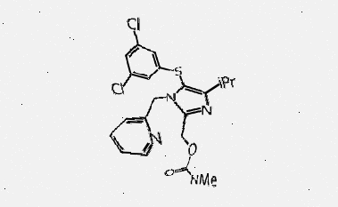 CNC(=O)OCc1nc(C(C)C)c(Sc2cc(Cl)cc(Cl)c2)n1Cc1ccccn1